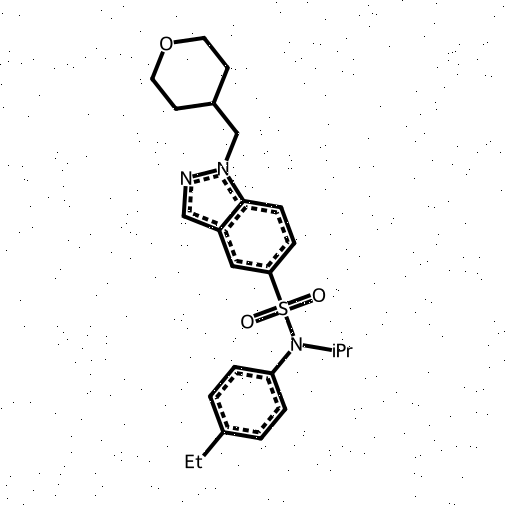 CCc1ccc(N(C(C)C)S(=O)(=O)c2ccc3c(cnn3CC3CCOCC3)c2)cc1